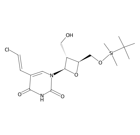 CC(C)(C)[Si](C)(C)OC[C@H]1O[C@@H](n2cc(C=CCl)c(=O)[nH]c2=O)[C@@H]1CO